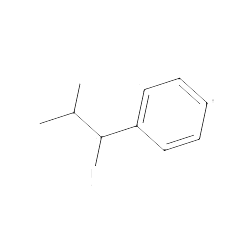 CC(F)C(F)c1ccccc1